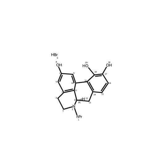 Br.CCCN1CCc2cc(O)cc3c2[C@H]1Cc1ccc(O)c(O)c1-3